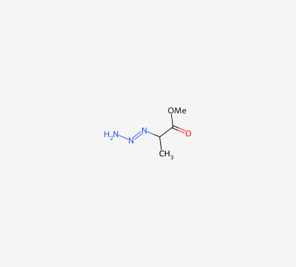 COC(=O)C(C)N=NN